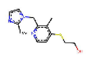 CSc1nccn1Cc1nccc(SCCO)c1C